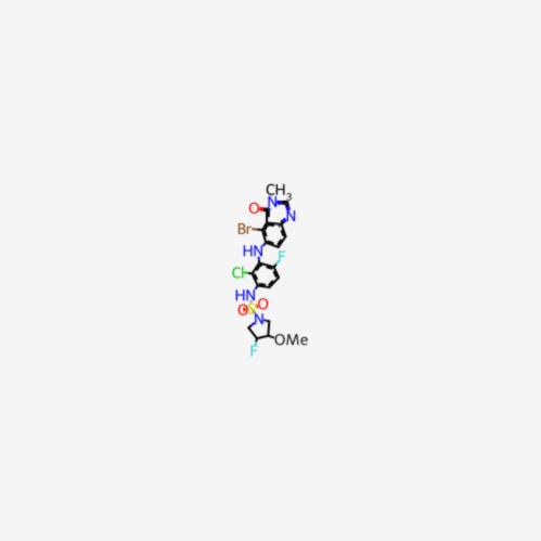 COC1CN(S(=O)(=O)Nc2ccc(F)c(Nc3ccc4ncn(C)c(=O)c4c3Br)c2Cl)CC1F